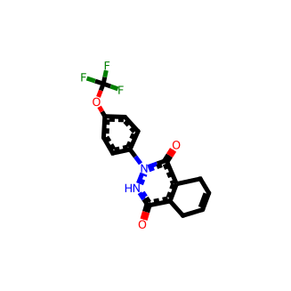 O=c1[nH]n(-c2ccc(OC(F)(F)F)cc2)c(=O)c2c1CC=CC2